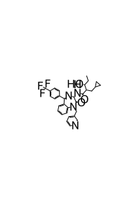 CCC(O)C(CC1CC1)C(=O)NC1N=C(c2ccc(C(F)(F)F)cc2)c2ccccc2N(Cc2cccnc2)C1=O